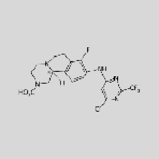 O=C(O)N1CCN2CCc3c(ccc(Nc4cc(Cl)nc(C(F)(F)F)n4)c3F)[C@H]2C1